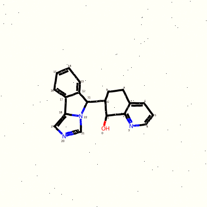 OC1c2ncccc2CCC1C1c2ccccc2-c2cncn21